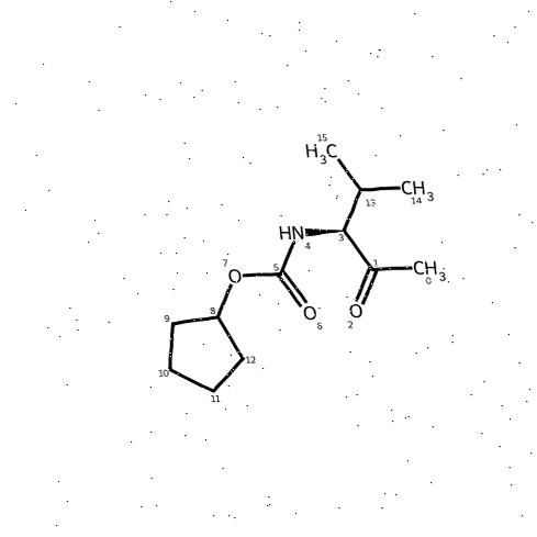 CC(=O)[C@@H](NC(=O)OC1CCCC1)C(C)C